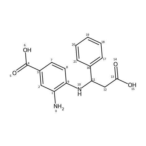 Nc1cc(C(=O)O)ccc1NC(CC(=O)O)c1ccccc1